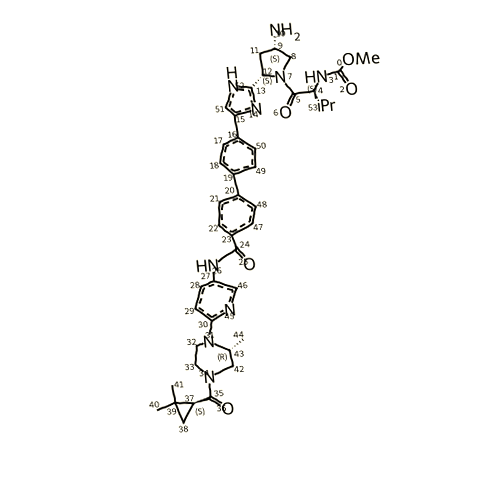 COC(=O)N[C@H](C(=O)N1C[C@@H](N)C[C@H]1c1nc(-c2ccc(-c3ccc(C(=O)Nc4ccc(N5CCN(C(=O)[C@H]6CC6(C)C)C[C@H]5C)nc4)cc3)cc2)c[nH]1)C(C)C